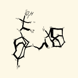 CCC1(OC(=O)COC23CC4CC(O)(C2)CC(OC(=O)C(F)(F)S(=O)(=O)O)(C4)C3)C2CC3CC(C2)CC1C3